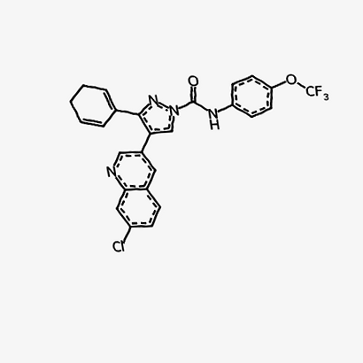 O=C(Nc1ccc(OC(F)(F)F)cc1)n1cc(-c2cnc3cc(Cl)ccc3c2)c(C2=CCCC=C2)n1